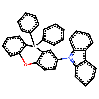 c1ccc([Si]2(c3ccccc3)c3ccccc3Oc3ccc(-n4c5ccccc5c5ccccc54)cc32)cc1